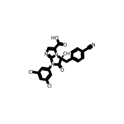 C[C@@]1(Cc2ccc(C#N)cc2)C(=O)N(c2cc(Cl)cc(Cl)c2)c2ncc(C(=O)O)n21